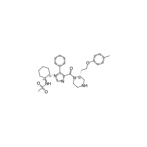 Cc1ccc(OCC[C@@H]2CNCCN2C(=O)c2ncn([C@H]3CCCC[C@@H]3NS(C)(=O)=O)c2-c2ccccc2)cc1